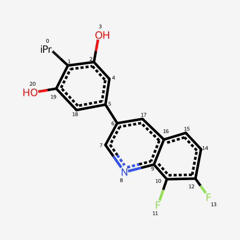 CC(C)c1c(O)cc(-c2cnc3c(F)c(F)ccc3c2)cc1O